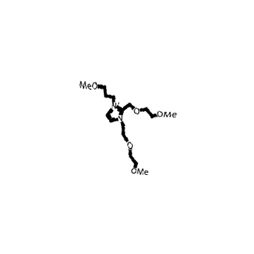 COCCC[n+]1ccn(CCOCCOC)c1COCCOC